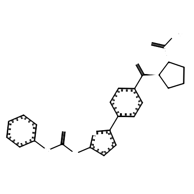 COC(=O)[C@@H]1CCC[C@H]1C(=O)c1ccc(-c2ccc(NC(=O)Nc3ccccc3)s2)cc1